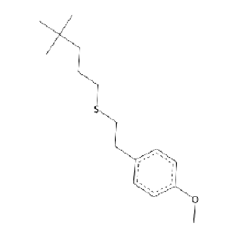 COc1ccc(CCSCCCC(C)(C)C)cc1